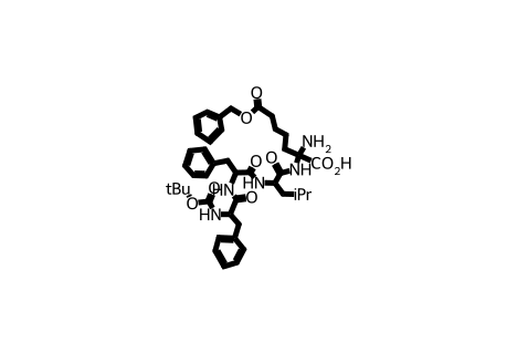 CC(C)CC(NC(=O)C(Cc1ccccc1)NC(=O)C(Cc1ccccc1)NC(=O)OC(C)(C)C)C(=O)NC(N)(CCCCC(=O)OCc1ccccc1)C(=O)O